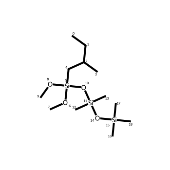 CCC(C)C[Si](OC)(OC)O[Si](C)(C)O[Si](C)(C)C